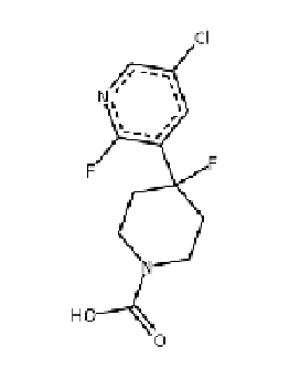 O=C(O)N1CCC(F)(c2cc(Cl)cnc2F)CC1